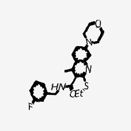 CCSc1nc2cc(N3CCOCC3)ccc2c(C)c1C(=O)NCc1cccc(F)c1